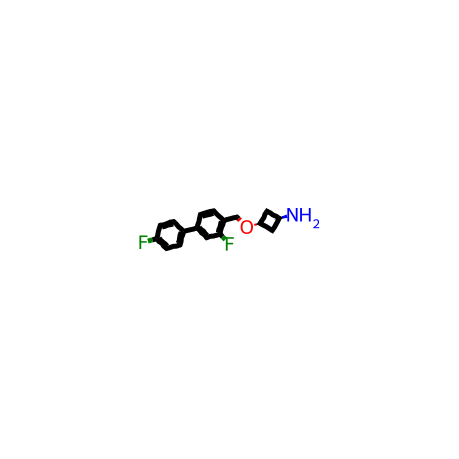 N[C@H]1C[C@H](OCc2ccc(-c3ccc(F)cc3)cc2F)C1